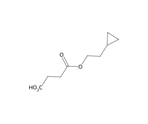 O=C(O)CCC(=O)OCCC1CC1